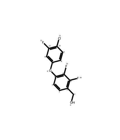 OCc1ccc(Oc2ccc(Cl)c(F)c2)c(F)c1F